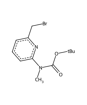 CN(C(=O)OC(C)(C)C)c1cccc(CBr)n1